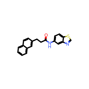 O=C(CCc1ccc2ccccc2c1)Nc1ccc2scnc2c1